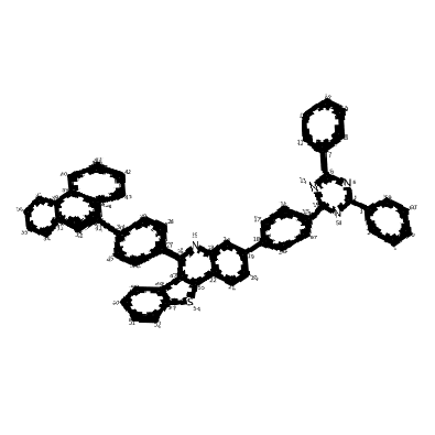 c1ccc(-c2nc(-c3ccccc3)nc(-c3ccc(-c4ccc5c(c4)nc(-c4ccc(-c6cc7ccccc7c7ccccc67)cc4)c4c6ccccc6sc54)cc3)n2)cc1